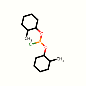 CC1CCCCC1OP(Cl)OC1CCCCC1C